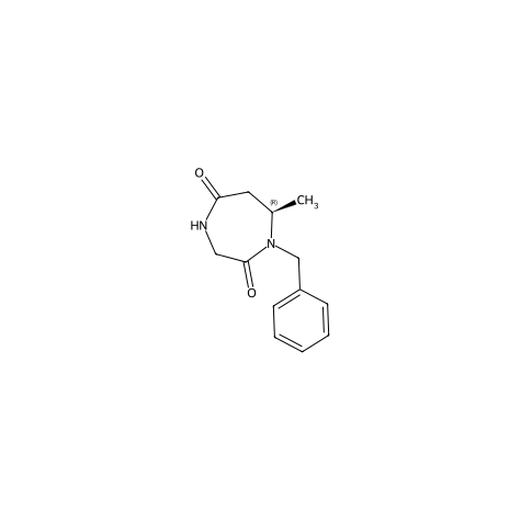 C[C@@H]1CC(=O)NCC(=O)N1Cc1ccccc1